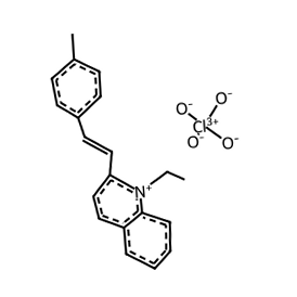 CC[n+]1c(/C=C/c2ccc(C)cc2)ccc2ccccc21.[O-][Cl+3]([O-])([O-])[O-]